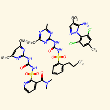 COc1cc(OC)nc(NC(=O)NS(=O)(=O)c2ncccc2C(=O)N(C)C)n1.COc1nc(C)nc(NC(=O)NS(=O)(=O)c2ccccc2CCC(F)(F)F)n1.Nc1c([N+](=O)[O-])cnn1-c1c(Cl)cc(C(F)(F)F)cc1Cl